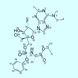 CCN(C)c1nc(C)nc2c1ncn2[C@@H]1O[C@](CCl)(CO[P@@](=O)(N[C@@H](C)C(=O)OC(C)C)Oc2ccccc2)[C@@H](O)[C@@H]1F